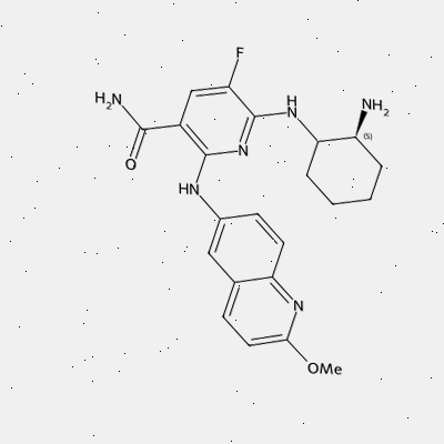 COc1ccc2cc(Nc3nc(NC4CCCC[C@@H]4N)c(F)cc3C(N)=O)ccc2n1